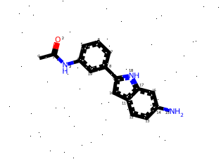 CC(=O)Nc1cccc(-c2cc3ccc(N)cc3[nH]2)c1